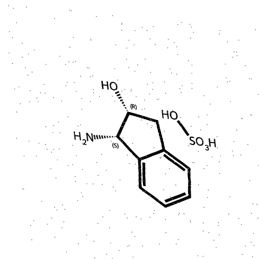 N[C@H]1c2ccccc2C[C@H]1O.O=S(=O)(O)O